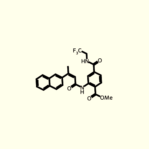 COC(=O)c1ccc(C(=O)NCC(F)(F)F)cc1NC(=O)/C=C(/C)c1ccc2ccccc2c1